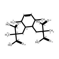 CC1C=CC(C)C(CC(C)(C(=O)O)C(=O)O)C1CC(C)(C(=O)O)C(=O)O